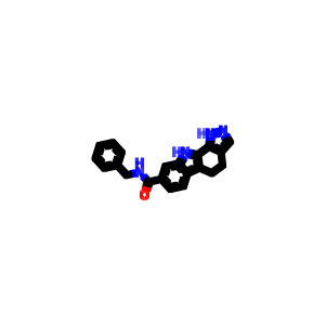 O=C(NCc1ccccc1)c1ccc2c3c([nH]c2c1)-c1[nH]ncc1CC3